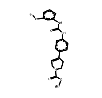 CCOc1cccc(NC(=O)Nc2ccc(C3=CCN(C(=O)OC(C)(C)C)CC3)cc2)c1